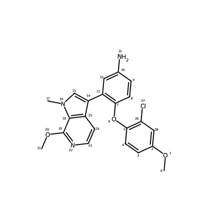 COc1ccc(Oc2ccc(N)cc2-c2cn(C)c3c(OC)nccc23)c(Cl)c1